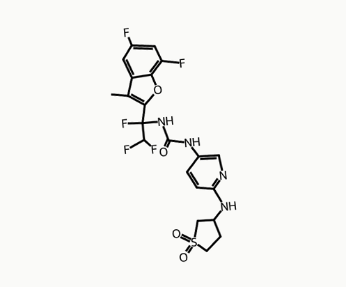 Cc1c(C(F)(NC(=O)Nc2ccc(NC3CCS(=O)(=O)C3)nc2)C(F)F)oc2c(F)cc(F)cc12